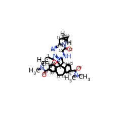 CCc1nnc(C2(CCNCC(=O)N3[C@H](C#N)C[C@@H]4C[C@@H]43)c3ccc(C(=O)N(C)C)cc3CCc3cc(C(=O)N(C)C)ccc32)o1